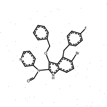 O=CN(c1cccnc1)c1[nH]c2ccc(Br)c(Cc3ccc(F)cc3)c2c1OCc1ccccc1